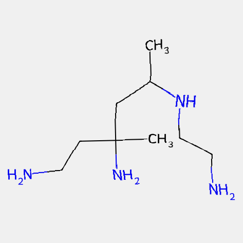 CC(CC(C)(N)CCN)NCCN